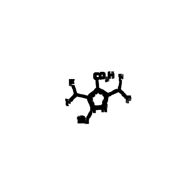 CC(C)(C)n1nc(C(F)F)c(C(=O)O)c1C(F)F